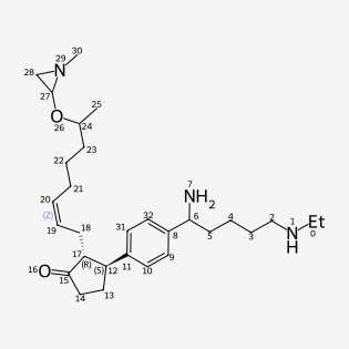 CCNCCCCC(N)c1ccc([C@H]2CCC(=O)[C@@H]2C/C=C\CCCC(C)OC2CN2C)cc1